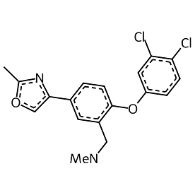 CNCc1cc(-c2coc(C)n2)ccc1Oc1ccc(Cl)c(Cl)c1